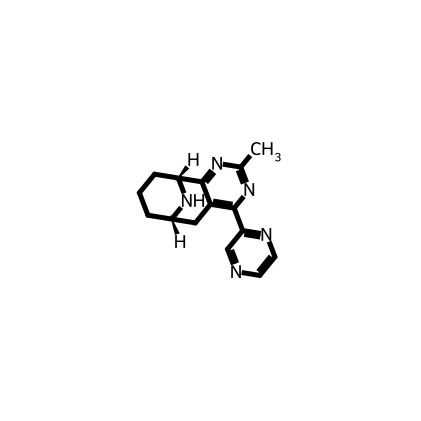 Cc1nc(-c2cnccn2)c2c(n1)[C@H]1CCC[C@@H](C2)N1